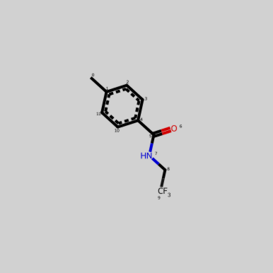 Cc1ccc(C(=O)NCC(F)(F)F)cc1